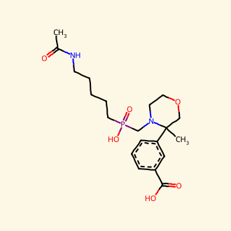 CC(=O)NCCCCCP(=O)(O)CN1CCOCC1(C)c1cccc(C(=O)O)c1